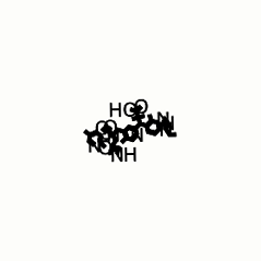 CCn1nnc2c(C)c(C(c3cc(CN4CC5(CNC5)Oc5ncc(C)cc5S4(=O)=O)c(C)cn3)C(C)(C)C(=O)O)ccc21